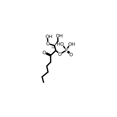 CCCCCC(=O)C(OP(=O)(O)O)[C@H](CO)OO